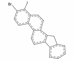 Brc1ccc2c(ccc3c4c(ccc32)-c2ccccc2C4)c1I